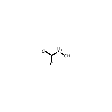 O[SiH2]C(Cl)Cl